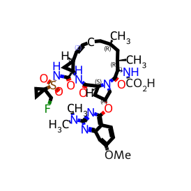 COc1ccc2c(O[C@@H]3C[C@H]4C(=O)N[C@]5(C(=O)NS(=O)(=O)C6(CF)CC6)C[C@H]5/C=C\CC[C@@H](C)C[C@@H](C)[C@H](NC(=O)O)C(=O)N4C3)nc(N(C)C)nc2c1